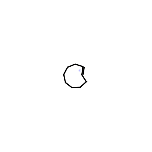 [CH]1/C=C/CCCCCC1